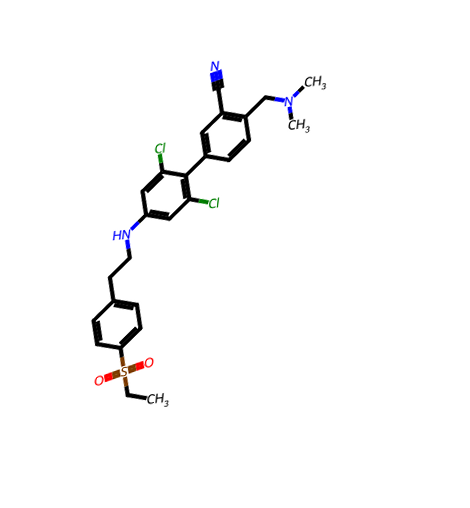 CCS(=O)(=O)c1ccc(CCNc2cc(Cl)c(-c3ccc(CN(C)C)c(C#N)c3)c(Cl)c2)cc1